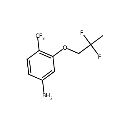 Bc1ccc(C(F)(F)F)c(OCC(C)(F)F)c1